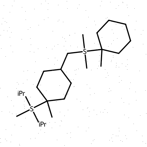 CC(C)S(C)(C(C)C)C1(C)CCC(CS(C)(C)C2(C)CCCCC2)CC1